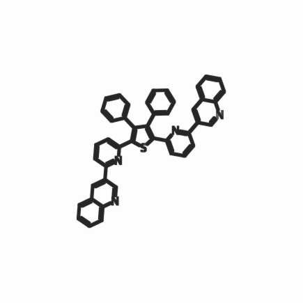 c1ccc(-c2c(-c3cccc(-c4cnc5ccccc5c4)n3)sc(-c3cccc(-c4cnc5ccccc5c4)n3)c2-c2ccccc2)cc1